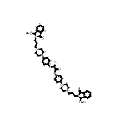 COC1c2ccccc2C(=O)N1CCCN1CCN(c2ccc(OC(=O)C(=O)Oc3ccc(N4CCN(CCCN5C(=O)c6ccccc6C5OC)CC4)cc3)cc2)CC1